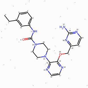 CCc1cccc(NC(=O)N2CCN(c3nccnc3OCc3ccnc(N)n3)CC2)c1